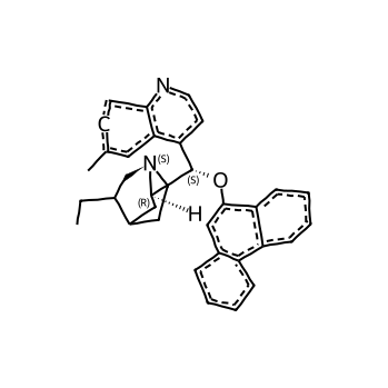 CCC1C[N@@]2CCC1C[C@@H]2[C@@H](Oc1cc2ccccc2c2ccccc12)c1ccnc2ccc(C)cc12